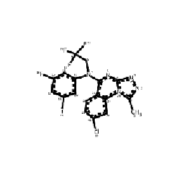 Cc1nnc2nc(N(CC(F)(F)F)c3cc(F)cc(I)c3)c3ccc(Cl)cc3n12